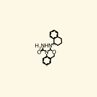 NC(=O)N1c2cc[c]cc2COC1N[C@@H]1CCCc2ccccc21